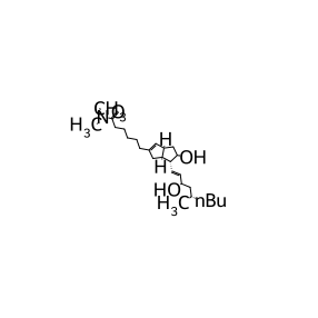 CCCC[C@H](C)C[C@H](O)/C=C/[C@@H]1[C@H]2CC(CCCCCC(=O)N(C)C)=C[C@H]2C[C@H]1O